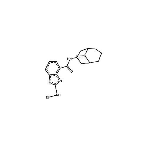 CCNc1nc2c(C(=O)NC3CC4CCCC(C3)N4C)cccc2o1